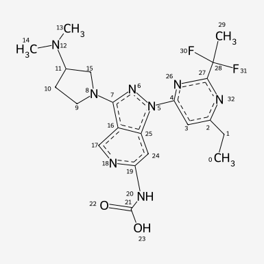 CCc1cc(-n2nc(N3CCC(N(C)C)C3)c3cnc(NC(=O)O)cc32)nc(C(C)(F)F)n1